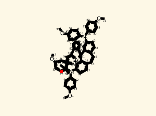 COc1ccc(N(c2ccc(OC)cc2)c2ccc3c(c2)C2(c4cc(N(c5ccc(OC)cc5)c5ccc(OC)cc5)ccc4C=C3)c3ccccc3-c3cc(C(C)(C)C)nn32)cc1